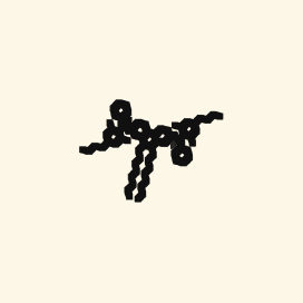 CCCCCCCCc1c(CCCCCCCC)c2cc(N(c3ccccc3)c3c(C)cc(CCCC)cc3C)ccc2c2ccc(N(c3ccccc3)c3c(C)cc(CCCC)cc3C)cc12